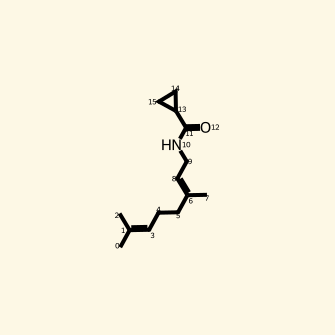 CC(C)=CCC/C(C)=C/CNC(=O)C1CC1